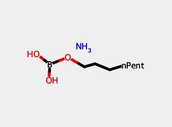 CCCCCCCCOB(O)O.N